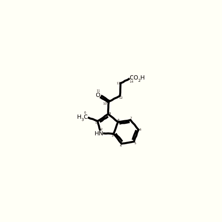 Cc1[nH]c2ccccc2c1C(=O)CCC(=O)O